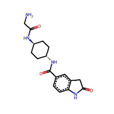 NCC(=O)N[C@H]1CC[C@H](NC(=O)c2ccc3c(c2)CC(=O)N3)CC1